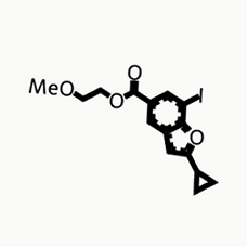 COCCOC(=O)c1cc(I)c2oc(C3CC3)cc2c1